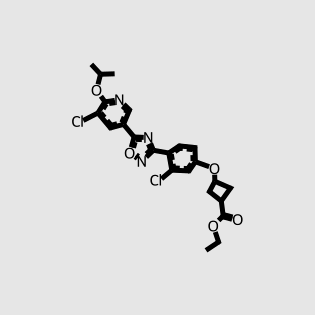 CCOC(=O)C1CC(Oc2ccc(-c3noc(-c4cnc(OC(C)C)c(Cl)c4)n3)c(Cl)c2)C1